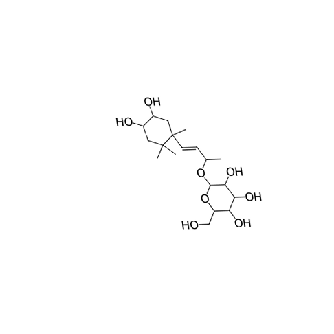 CC(C=CC1(C)CC(O)C(O)CC1(C)C)OC1OC(CO)C(O)C(O)C1O